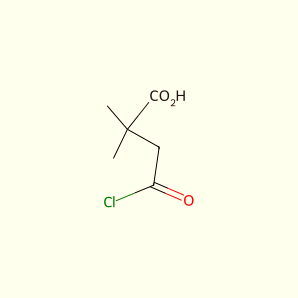 CC(C)(CC(=O)Cl)C(=O)O